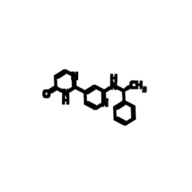 C[C@H](Nc1cc(-c2nccc(=O)[nH]2)ccn1)c1ccccc1